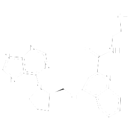 CCCNC(=O)c1cc(OC[C@H]2CCCN2c2ncnc3[nH]cnc23)c2ccccc2n1